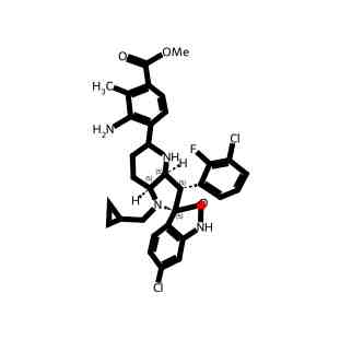 COC(=O)c1ccc(C2CC[C@H]3[C@@H](N2)[C@H](c2cccc(Cl)c2F)[C@]2(C(=O)Nc4cc(Cl)ccc42)N3CC2CC2)c(N)c1C